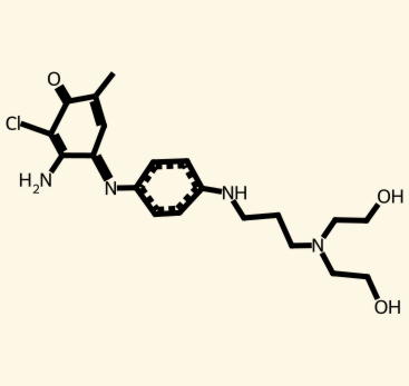 CC1=C/C(=N\c2ccc(NCCCN(CCO)CCO)cc2)C(N)=C(Cl)C1=O